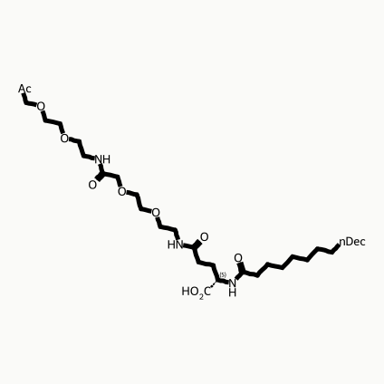 CCCCCCCCCCCCCCCCCC(=O)N[C@@H](CCC(=O)NCCOCCOCC(=O)NCCOCCOCC(C)=O)C(=O)O